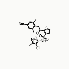 Cc1cc(C#N)cc(C)c1CC(=O)c1sccc1S(=O)(=O)Nc1onc(C)c1Cl